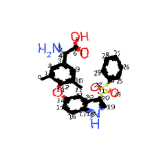 Cc1cc([C@H](N)C(=O)O)cc(C)c1Oc1ccc2[nH]cc(S(=O)(=O)c3ccccc3)c2c1